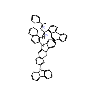 C/C(=N\C(=N/c1c(N2C3=Cc4ccc(-n5c6ccccc6c6ccccc65)cc4CC3c3ccccc32)ccc2c1CCC=C2)c1cccc2c1ccc1ccccc12)C1C=CC=CC1